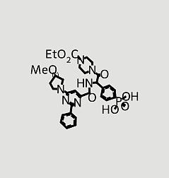 CCOC(=O)N1CCN(C(=O)C(NC(=O)c2cc(N3CC[C@H](OC)C3)nc(-c3ccccc3)n2)c2ccc(P(=O)(O)O)cc2)CC1